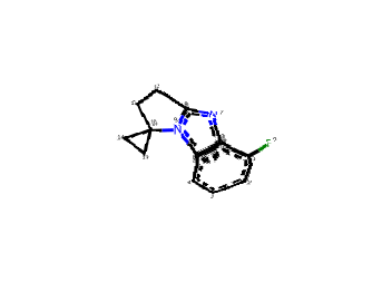 Fc1cccc2c1nc1n2C2(CC1)CC2